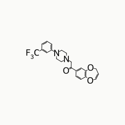 O=C(CN1CCN(c2cccc(C(F)(F)F)c2)CC1)c1ccc2c(c1)OCC=CO2